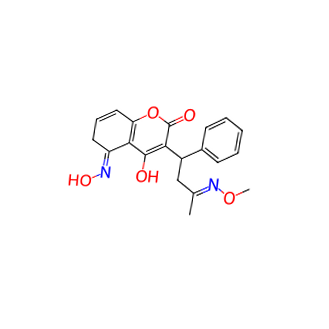 CON=C(C)CC(c1ccccc1)c1c(O)c2c(oc1=O)C=CCC2=NO